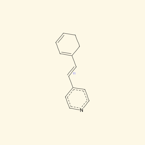 C1=CCCC(/C=C/c2ccncc2)=C1